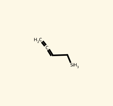 C=C=CC[SiH3]